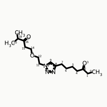 CCC(=O)CCCCc1cn(CCOCCC(=O)C(C)C)nn1